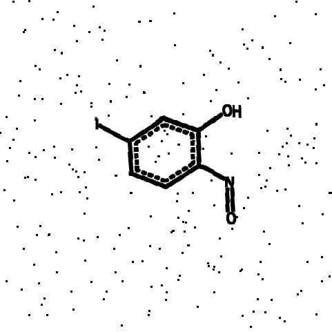 O=Nc1ccc(I)cc1O